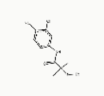 CCSC(C)(C)C(=O)Nc1ccc(C#N)c(Cl)c1